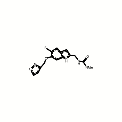 CNC(=O)NCc1cc2cc(F)c(OCc3ccon3)cc2[nH]1